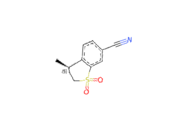 C[C@@H]1CS(=O)(=O)c2cc(C#N)ccc21